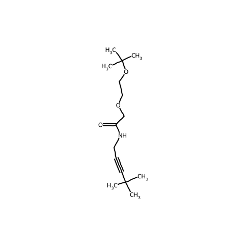 CC(C)(C)C#CCNC(=O)COCCOC(C)(C)C